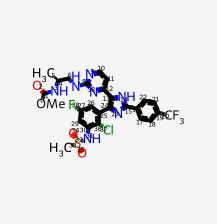 COC(=O)N[C@@H](C)CNc1nccc(-c2[nH]c(-c3ccc(C(F)(F)F)cc3)nc2-c2cc(F)cc(NS(C)(=O)=O)c2Cl)n1